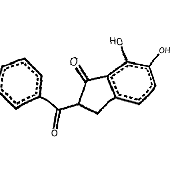 O=C(c1ccccc1)C1Cc2ccc(O)c(O)c2C1=O